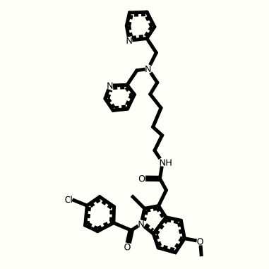 COc1ccc2c(c1)c(CC(=O)NCCCCCCN(Cc1ccccn1)Cc1ccccn1)c(C)n2C(=O)c1ccc(Cl)cc1